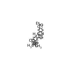 CCC(=O)Oc1ccc(N=c2scc(-c3ccc(Cl)c(S(=O)(=O)N(C)C)c3)n2C)cc1